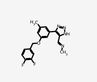 C/N=C/c1[nH]nnc1-c1cc(C)cc(OCc2ccc(F)c(F)c2)c1